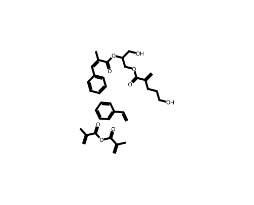 C=C(C)C(=O)OC(=O)C(=C)C.C=C(CCCO)C(=O)OCC(CO)OC(=O)C(C)=Cc1ccccc1.C=Cc1ccccc1